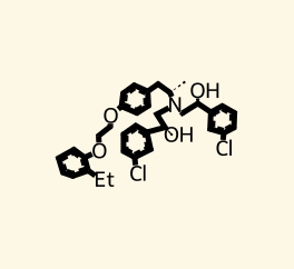 CCc1ccccc1OCCOc1ccc(C[C@H](C)N(C[C@@H](O)c2cccc(Cl)c2)C[C@H](O)c2cccc(Cl)c2)cc1